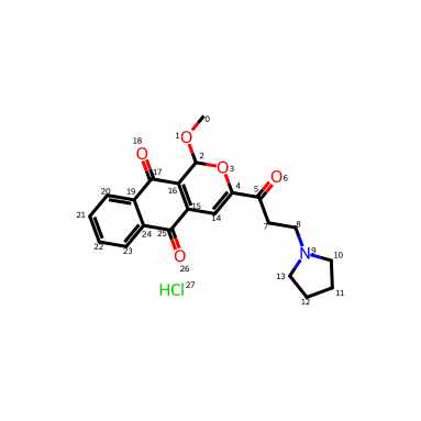 COC1OC(C(=O)CCN2CCCC2)=CC2=C1C(=O)c1ccccc1C2=O.Cl